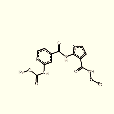 CCONC(=O)c1ccsc1NC(=O)c1ccnc(NC(=O)OC(C)C)c1